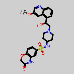 COc1cnc2cccc(C(O)CN3CCC(NS(=O)(=O)c4ccc5c(c4)NC(=O)CO5)CC3)c2c1